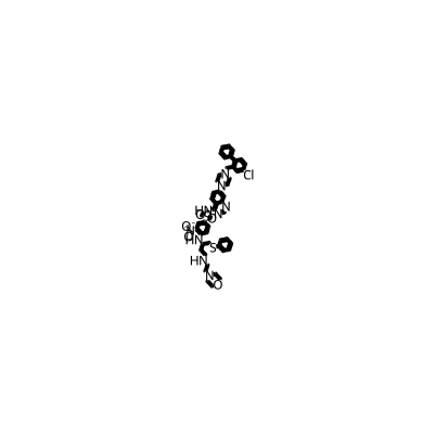 O=[N+]([O-])c1cc(S(=O)(=O)Nc2ncnc3cc(N4CCN(Cc5cc(Cl)ccc5-c5ccccc5)CC4)ccc23)ccc1NC(CCNCCN1CCOCC1)CSc1ccccc1